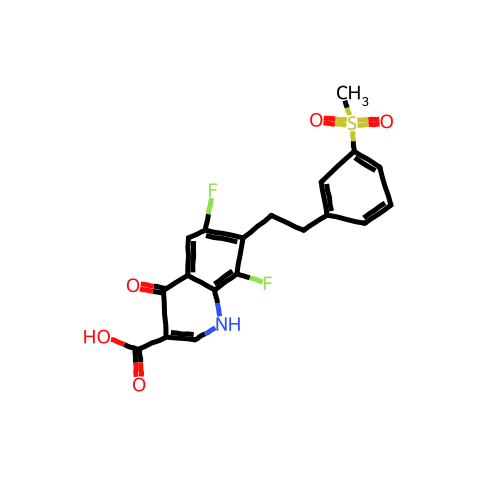 CS(=O)(=O)c1cccc(CCc2c(F)cc3c(=O)c(C(=O)O)c[nH]c3c2F)c1